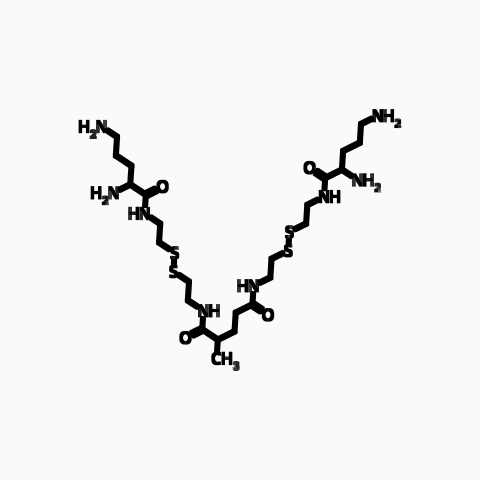 CC(CCC(=O)NCCSSCCNC(=O)C(N)CCCN)C(=O)NCCSSCCNC(=O)C(N)CCCN